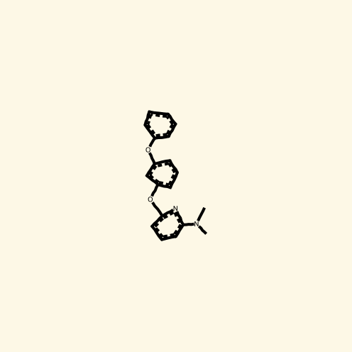 CN(C)c1cccc(Oc2cccc(Oc3ccccc3)c2)n1